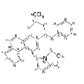 ClC(Cl)(Cl)C1Cc2c(ccc3c2ccc2ccccc23)C(Cc2ccccc2)C1.c1cc2n(c1)COC2